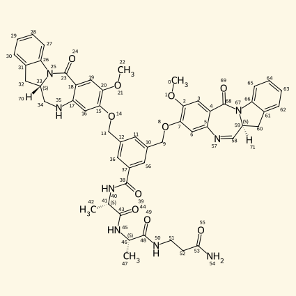 COc1cc2c(cc1OCc1cc(COc3cc4c(cc3OC)C(=O)N3c5ccccc5C[C@H]3CN4)cc(C(=O)N[C@@H](C)C(=O)N[C@@H](C)C(=O)NCCC(N)=O)c1)N=C[C@@H]1Cc3ccccc3N1C2=O